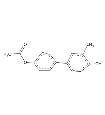 CC(=O)Oc1ccc(-c2ccc(O)c(C)c2)cc1